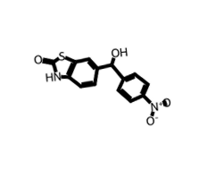 O=c1[nH]c2ccc(C(O)c3ccc([N+](=O)[O-])cc3)cc2s1